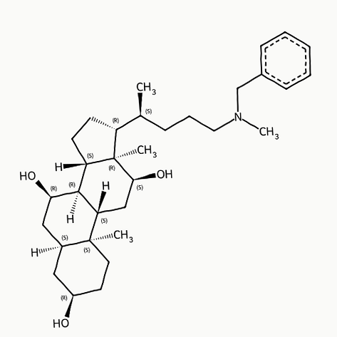 C[C@@H](CCCN(C)Cc1ccccc1)[C@H]1CC[C@H]2[C@@H]3[C@H](O)C[C@@H]4C[C@H](O)CC[C@]4(C)[C@H]3C[C@H](O)[C@]12C